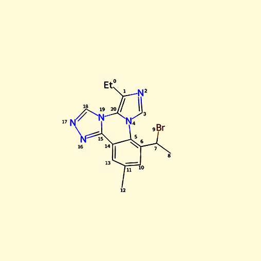 CCc1ncn2c3c(C(C)Br)cc(C)cc3c3nncn3c12